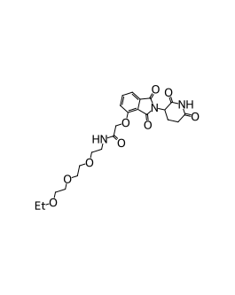 CCOCCOCCOCCNC(=O)COc1cccc2c1C(=O)N(C1CCC(=O)NC1=O)C2=O